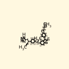 CC#CC(Cc1nnn[nH]1)c1ccc(OCc2ccc3sc(F)c(-c4ccc(OCCOC)cc4C)c3c2)cc1